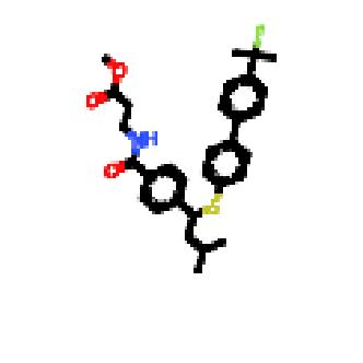 COC(=O)CCNC(=O)c1ccc(C(CC(C)C)Sc2ccc(-c3ccc(C(C)(C)F)cc3)cc2)cc1